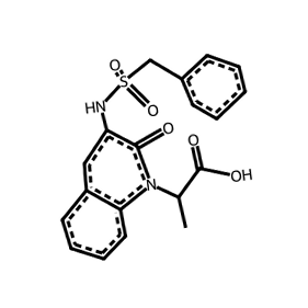 CC(C(=O)O)n1c(=O)c(NS(=O)(=O)Cc2ccccc2)cc2ccccc21